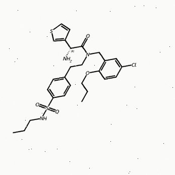 CCCNS(=O)(=O)c1ccc(CCN(Cc2cc(Cl)ccc2OCCC)C(=O)[C@H](N)c2ccsc2)cc1